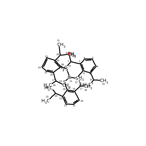 CC(C)c1cccc(C(C)C)c1[S][Bi]([S]c1c(C(C)C)cccc1C(C)C)[S]c1c(C(C)C)cccc1C(C)C